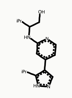 CC(C)c1[nH]ncc1-c1ccnc(NC(CO)C(C)C)c1